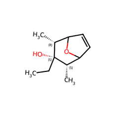 CC[C@@]1(O)[C@H](C)C2C=CC(O2)[C@@H]1C